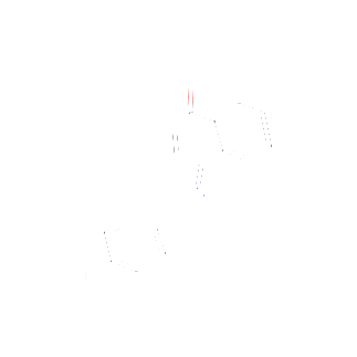 O=C1C=CC(=NS(=O)(=O)c2ccc(F)cc2)c2ccccc21